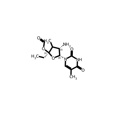 CC[C@@]1(OC=O)O[C@@H](n2cc(C)c(=O)[nH]c2=O)[C@@H](N)C1C